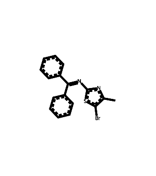 Cc1nc(N=C(c2ccccc2)c2ccccc2)sc1Br